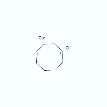 C1=CCCC=CCC1.[Cl+].[Cu+]